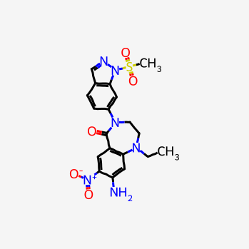 CCN1CCN(c2ccc3cnn(S(C)(=O)=O)c3c2)C(=O)c2cc([N+](=O)[O-])c(N)cc21